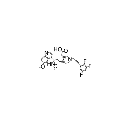 CONC(CC[C@@H]1CCN(CC#Cc2cc(F)cc(F)c2F)C[C@@H]1CC(=O)O)c1ccnc2ccc(OC)cc12